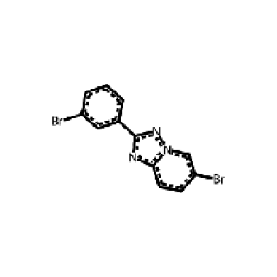 Brc1cccc(-c2nc3ccc(Br)cn3n2)c1